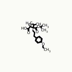 CCOc1ccc(CCC[C@@](C(=O)OC(C)C)(C(C)C)[C@H](O)C(=O)O)cc1